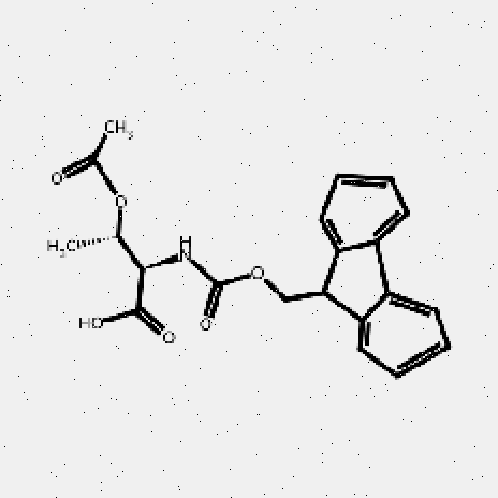 CC(=O)O[C@@H](C)[C@@H](NC(=O)OCC1c2ccccc2-c2ccccc21)C(=O)O